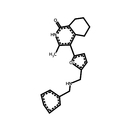 Cc1[nH]c(=O)c2c(c1-c1ccc(CNCc3ccccc3)o1)CCCC2